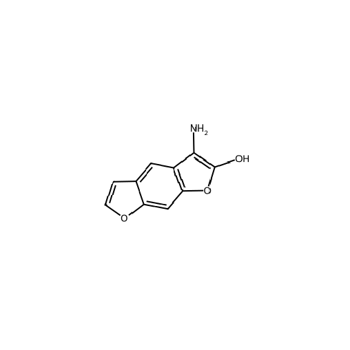 Nc1c(O)oc2cc3occc3cc12